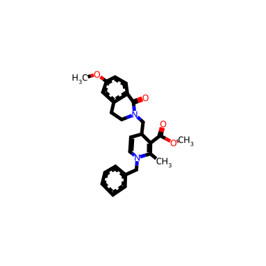 COC(=O)C1=C(C)N(Cc2ccccc2)C=CC1CN1CCc2cc(OC)ccc2C1=O